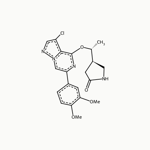 COc1ccc(-c2cn3ncc(Cl)c3c(O[C@H](C)[C@H]3CNC(=O)C3)n2)cc1OC